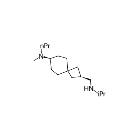 CCCN(C)[C@H]1CCC2(CC1)C[C@H](CNC(C)C)C2